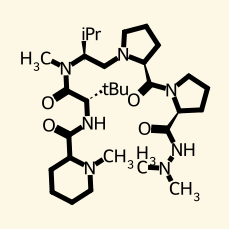 CC(C)[C@@H](CN1CCC[C@H]1C(=O)N1CCC[C@H]1C(=O)NN(C)C)N(C)C(=O)[C@@H](NC(=O)C1CCCCN1C)C(C)(C)C